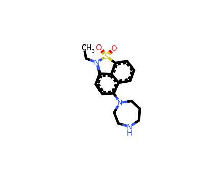 CCN1c2ccc(N3CCCNCC3)c3cccc(c23)S1(=O)=O